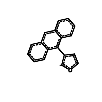 [c]1occc1-c1c2ccccc2cc2ccccc12